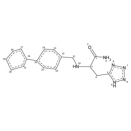 NC(=O)C(Cc1nnn[nH]1)NCc1ccc(-c2ccccc2)cc1